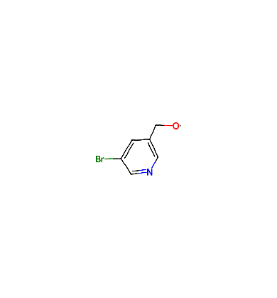 [O]Cc1cncc(Br)c1